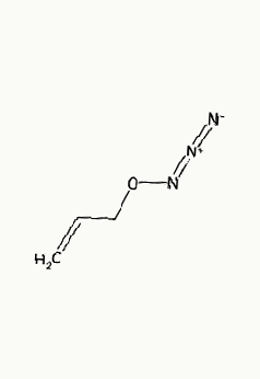 C=CCON=[N+]=[N-]